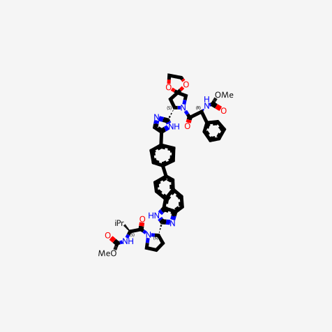 COC(=O)N[C@H](C(=O)N1CCC[C@H]1c1nc2ccc3cc(-c4ccc(-c5cnc([C@@H]6CC7(CN6C(=O)[C@H](NC(=O)OC)c6ccccc6)OCCO7)[nH]5)cc4)ccc3c2[nH]1)C(C)C